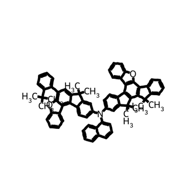 CC(C)(C)c1ccccc1-c1cc2c(c3c1oc1ccccc13)-c1ccc(N(c3ccc4c(c3)C(C)(C)c3c5c(c6oc7ccccc7c6c3-4)-c3ccccc3C5(C)C)c3cccc4ccccc34)cc1C2(C)C